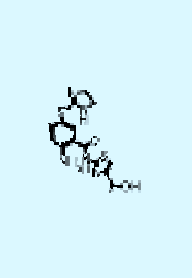 CC(O)c1csc(NC(=O)c2cc(SC3=NCCN3)ccc2N)n1